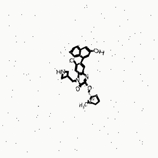 CN1CCC[C@H]1COc1nc2cc(-c3cc(O)cc4ccccc34)c(Cl)cc2n(CC2CNC2)c1=O